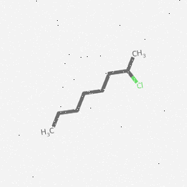 CC[CH]CCCC(C)Cl